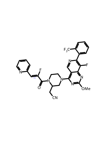 COc1nc(N2CCN(C(=O)/C(F)=C/c3ccccn3)C(CC#N)C2)c2cnc(-c3ccccc3C(F)(F)F)c(F)c2n1